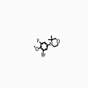 COc1c(F)cc(N2CCOCC2(C)C)cc1Br